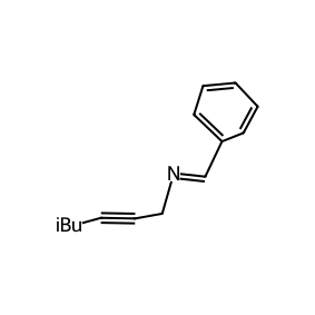 CCC(C)C#CCN=Cc1ccccc1